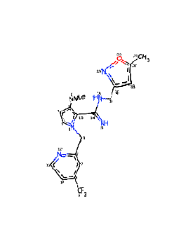 CNc1ccn(Cc2cc(C(F)(F)F)ccn2)c1C(=N)NCc1cc(C)on1